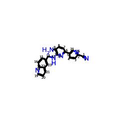 N#Cc1ccc(-c2ccc(N)c(NCc3ccc4ncccc4c3)n2)cn1